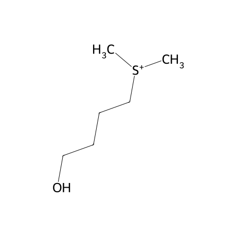 C[S+](C)CCCCO